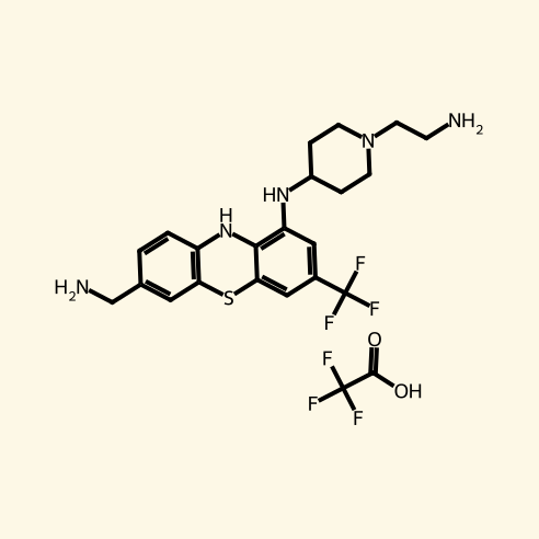 NCCN1CCC(Nc2cc(C(F)(F)F)cc3c2Nc2ccc(CN)cc2S3)CC1.O=C(O)C(F)(F)F